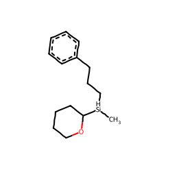 C[SiH](CCCc1ccccc1)C1CCCCO1